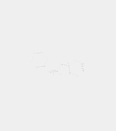 Cn1/c(=N\C2CCNCC2)sc2ccccc21